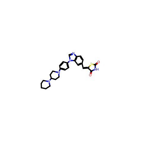 O=C1NC(=O)/C(=C/c2ccc3ncn(-c4ccc(N5CCC(N6CCCCC6)CC5)cc4)c3c2)S1